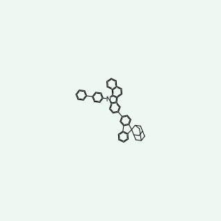 c1ccc(-c2ccc(-n3c4ccc(-c5ccc6c(c5)-c5ccccc5C65C6CC7CC(C6)CC5C7)cc4c4ccc5ccccc5c43)cc2)cc1